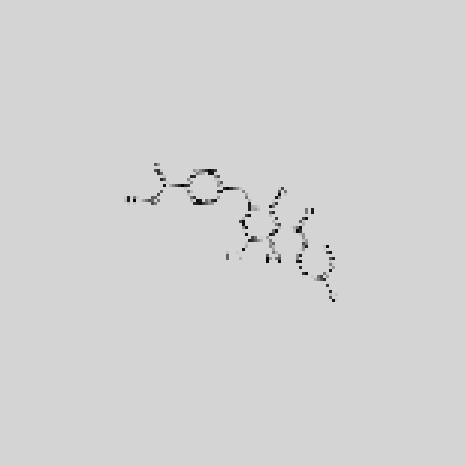 CC(C)OC(=O)c1ccc(Cn2nc(O)c3[nH]c4cc(Cl)ccc4c(=O)c3c2=O)cc1